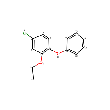 CCOc1cc(Cl)ccc1Oc1ccccc1